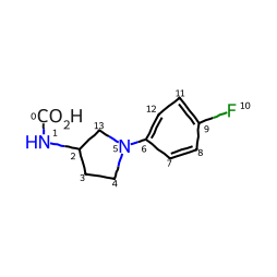 O=C(O)NC1CCN(c2ccc(F)cc2)C1